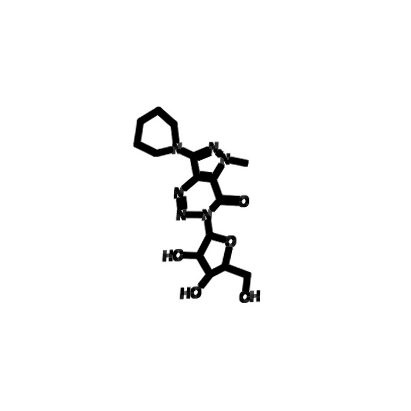 Cn1nc(N2CCCCC2)c2nnn(C3OC(CO)C(O)C3O)c(=O)c21